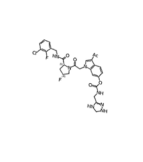 CC(=O)c1cn(CC(=O)N2C[C@H](F)C[C@H]2C(=O)NCc2cccc(Cl)c2F)c2cc(OC(=O)NCC3=NNCN3)ccc12